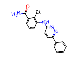 CCc1c(Nc2ccc(-c3ccccc3)nn2)cccc1C(N)=O